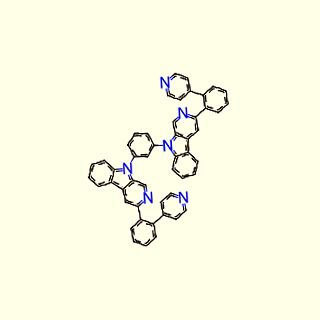 c1cc(-n2c3ccccc3c3cc(-c4ccccc4-c4ccncc4)ncc32)cc(-n2c3ccccc3c3cc(-c4ccccc4-c4ccncc4)ncc32)c1